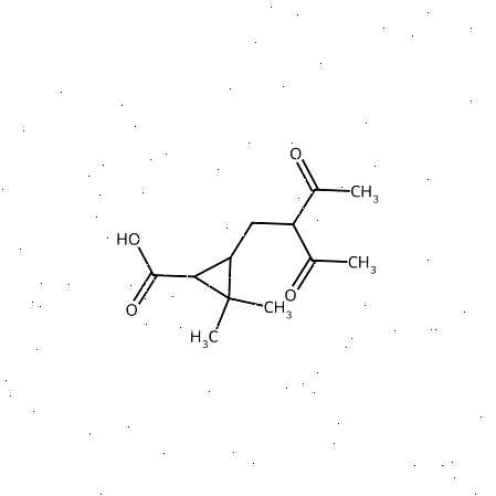 CC(=O)C(CC1C(C(=O)O)C1(C)C)C(C)=O